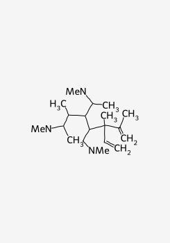 C=CC(C)(C(=C)C)C(CNC)C(C(C)NC)C(C)C(C)NC